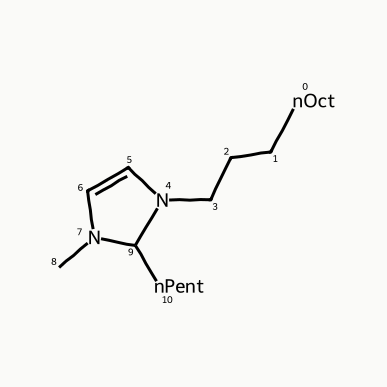 CCCCCCCCCCCN1C=CN(C)C1CCCCC